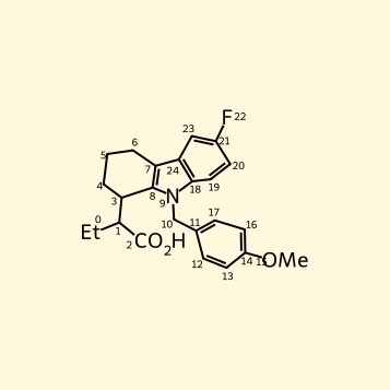 CCC(C(=O)O)C1CCCc2c1n(Cc1ccc(OC)cc1)c1ccc(F)cc21